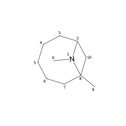 CN1C2CCCCCC1(C)C2